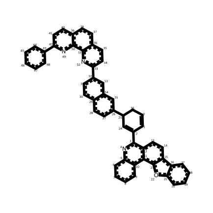 C1=CC(c2nc3ccccc3c3c2ccc2c4ccccc4oc23)=CC(c2ccc3ccc(-c4ccc5ccc6ccc(-c7ccccc7)nc6c5n4)cc3c2)C1